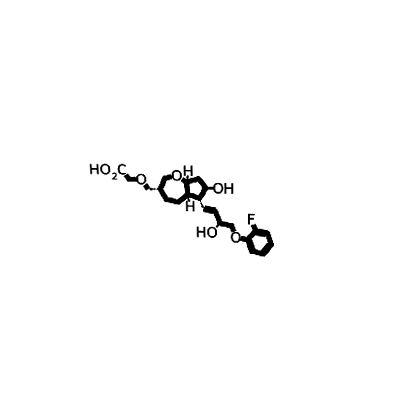 O=C(O)COC[C@H]1CC[C@@H]2[C@@H](/C=C/[C@@H](O)COc3ccccc3F)[C@H](O)C[C@@H]2OC1